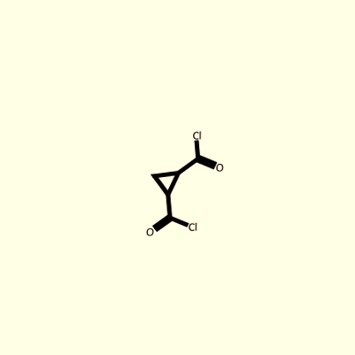 O=C(Cl)C1CC1C(=O)Cl